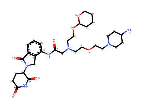 NC1CCN(CCOCCN(CCOC2CCCCO2)CC(=O)Nc2cccc3c2CN(C2CCC(=O)NC2=O)C3=O)CC1